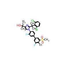 CCc1c(F)cc(-c2ccc(-n3cc(C(C)(C)O)nc3C(C)(C)c3c(Cl)cccc3Cl)c(F)c2)cc1S(C)(=O)=O